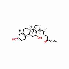 COC(=O)CC[C@@H](C)[C@H]1CC[C@H]2[C@@H]3CC[C@@H]4C[C@H](O)CC[C@]4(C)C3CC(O)[C@]12C